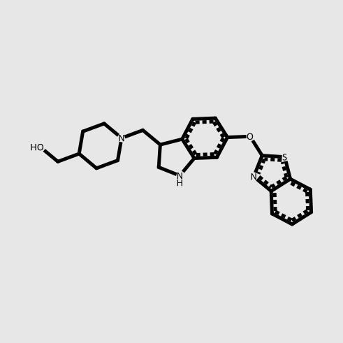 OCC1CCN(CC2CNc3cc(Oc4nc5ccccc5s4)ccc32)CC1